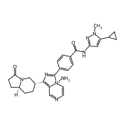 Cn1nc(NC(=O)c2ccc(C3=NC([C@@H]4CC[C@H]5CCC(=O)N5C4)=C4C=NC=C[N+]34N)cc2)cc1C1CC1